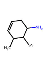 CC(C)C1C(C)C=CCC1N